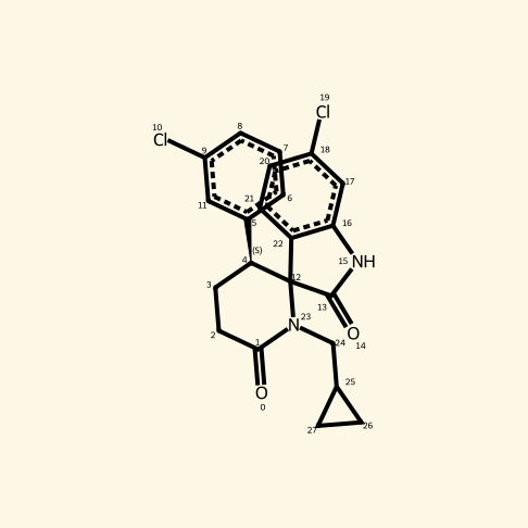 O=C1CC[C@@H](c2cccc(Cl)c2)C2(C(=O)Nc3cc(Cl)ccc32)N1CC1CC1